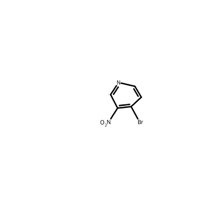 O=[N+]([O-])c1[c]nccc1Br